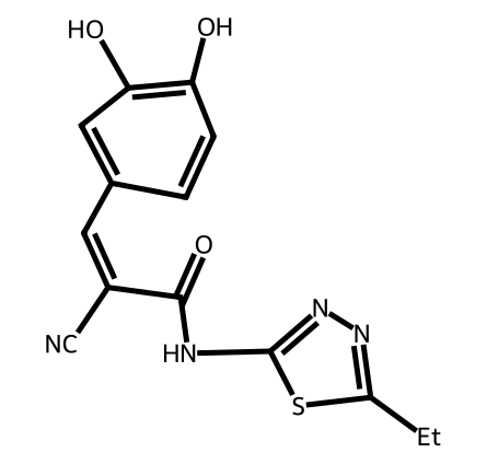 CCc1nnc(NC(=O)/C(C#N)=C\c2ccc(O)c(O)c2)s1